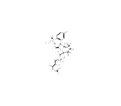 Cc1ccc(S(=O)(=O)O)c([C@@H]2C(=O)N3[C@@H]2S(=O)(=O)C(C)(C)[C@]3(CN)C(=O)OCc2oc(=O)oc2C)c1